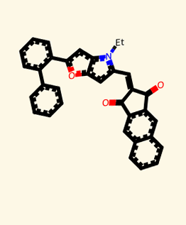 CCn1c(C=C2C(=O)c3cc4ccccc4cc3C2=O)cc2oc(-c3ccccc3-c3ccccc3)cc21